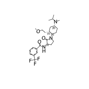 COCC[C@@H]1C[C@H](N(C)C(C)C)CC[C@@H]1N1CC[C@H](NC(=O)c2cccc(C(F)(F)F)c2)C1=O